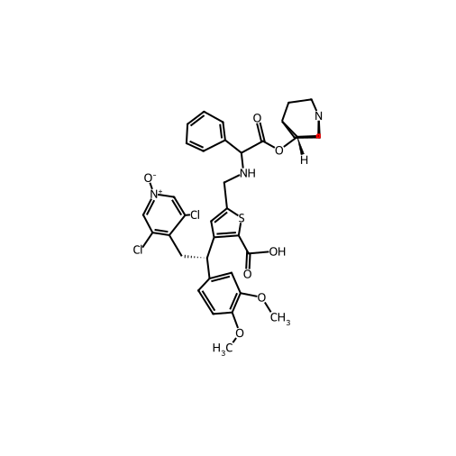 COc1ccc([C@H](Cc2c(Cl)c[n+]([O-])cc2Cl)c2cc(CNC(C(=O)O[C@H]3CN4CCC3CC4)c3ccccc3)sc2C(=O)O)cc1OC